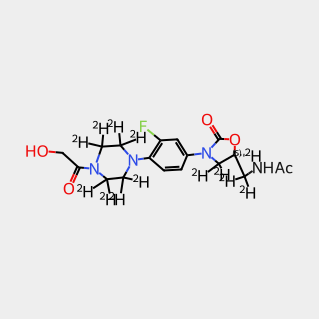 [2H]C1([2H])N(C(=O)CO)C([2H])([2H])C([2H])([2H])N(c2ccc(N3C(=O)O[C@@]([2H])(C([2H])([2H])NC(C)=O)C3([2H])[2H])cc2F)C1([2H])[2H]